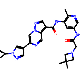 Cc1ncc(NC(=O)CN2CC(C)(C)C2)cc1NC(=O)c1cnn2cc(-c3cnn(C4CC4)c3)ncc12